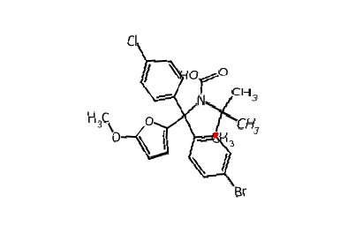 COc1ccc(C(c2ccc(Cl)cc2)(c2ccc(Br)cc2)N(C(=O)O)C(C)(C)C)o1